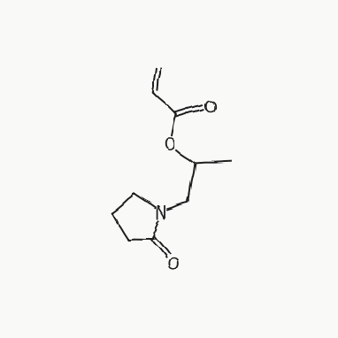 C=CC(=O)OC(C)CN1CCCC1=O